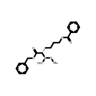 CC(C)(C)ON(C=O)[C@@H](CCCCOC(=O)c1ccccc1)C(=O)OCc1ccccc1